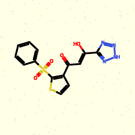 O=C(C=C(O)c1nn[nH]n1)c1ccsc1S(=O)(=O)c1ccccc1